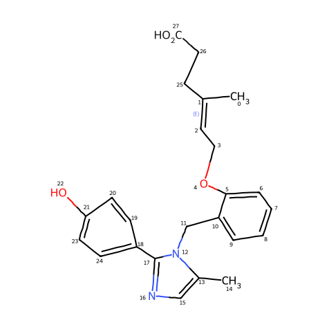 C/C(=C\COc1ccccc1Cn1c(C)cnc1-c1ccc(O)cc1)CCC(=O)O